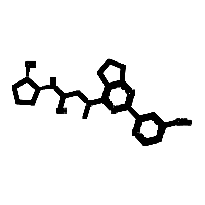 COc1ccnc(-c2nc3c(c(N(C)CC(O)N[C@@H]4CCC[C@@H]4O)n2)CCC3)c1